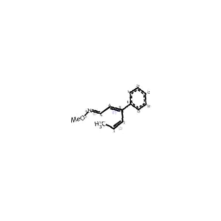 C\C=C/C(=C\C=N\OC)c1ccccc1